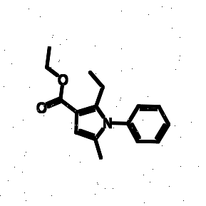 CCOC(=O)c1cc(C)n(-c2ccccc2)c1CC